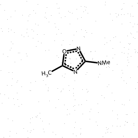 CNc1noc(C)n1